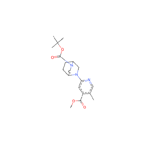 COC(=O)c1cc(N2CC3CCC2CN3C(=O)OC(C)(C)C)ncc1C